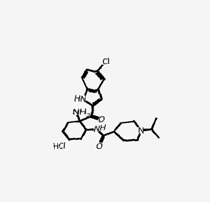 CC(C)N1CCC(C(=O)NC2CCCCC2(N)C(=O)c2cc3cc(Cl)ccc3[nH]2)CC1.Cl